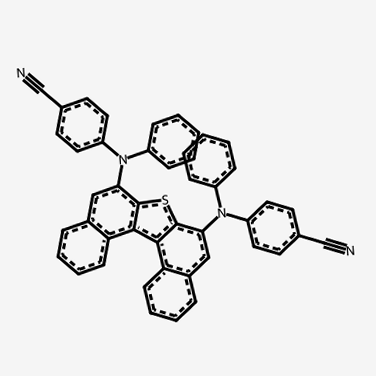 N#Cc1ccc(N(c2ccccc2)c2cc3ccccc3c3c2sc2c(N(c4ccccc4)c4ccc(C#N)cc4)cc4ccccc4c23)cc1